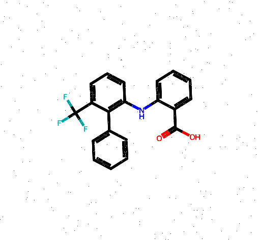 O=C(O)c1ccccc1Nc1cccc(C(F)(F)F)c1-c1ccccc1